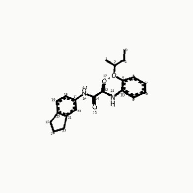 CCC(C)Oc1ccccc1NC(=O)C(=O)Nc1ccc2c(c1)CCC2